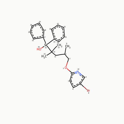 CC(COc1ccc(Br)cn1)CC(C)(C)[Si](O)(c1ccccc1)c1ccccc1